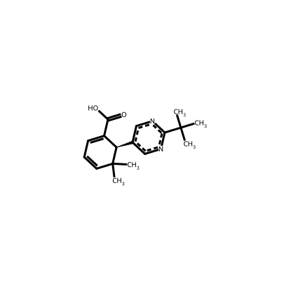 CC(C)(C)c1ncc([C@@H]2C(C(=O)O)=CC=CC2(C)C)cn1